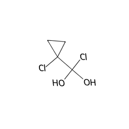 OC(O)(Cl)C1(Cl)CC1